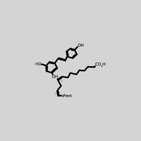 CCCCC/C=C\C/C=C\CCCCCCCC(=O)O.Oc1ccc(C=Cc2cc(O)cc(O)c2)cc1